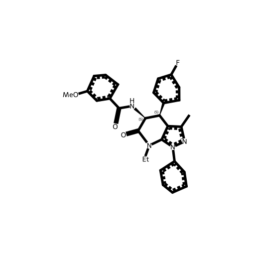 CCN1C(=O)[C@@H](NC(=O)c2cccc(OC)c2)[C@@H](c2ccc(F)cc2)c2c(C)nn(-c3ccccc3)c21